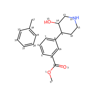 COC(=O)c1cccc(C2CCNCC2O)c1.Cc1ccccc1